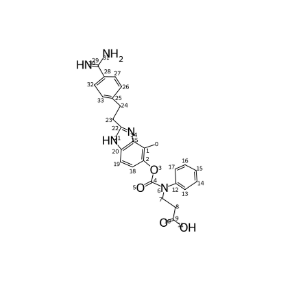 Cc1c(OC(=O)N(CCC(=O)O)c2ccccc2)ccc2[nH]c(CCc3ccc(C(=N)N)cc3)nc12